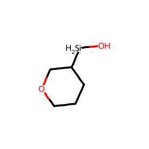 O[SiH2]C1CCCOC1